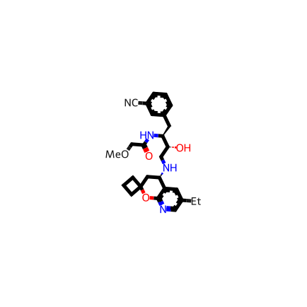 CCc1cnc2c(c1)[C@@H](NC[C@@H](O)[C@H](Cc1cccc(C#N)c1)NC(=O)COC)CC1(CCC1)O2